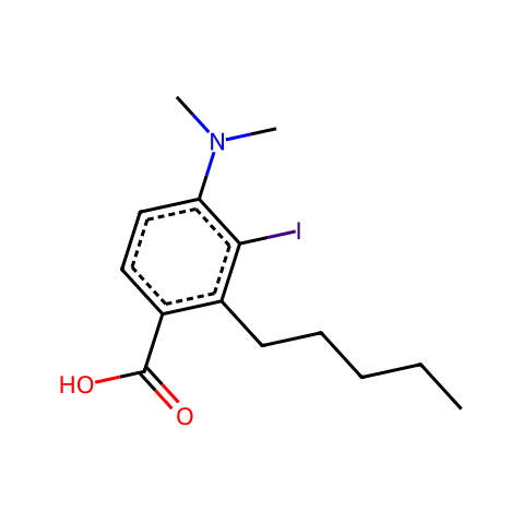 CCCCCc1c(C(=O)O)ccc(N(C)C)c1I